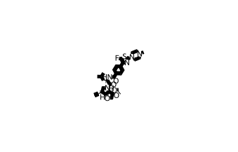 C#C[C@@H]1CN(C(=O)[C@H](CC(C)C)NC(=O)c2ccc(-c3nc(N4CCN(C)CC4)sc3F)cc2)[C@H]2[C@@H]1OCC2(OC)OC